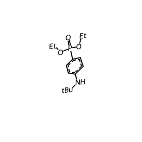 CCOP(=O)(OCC)c1ccc(NC(C)(C)C)cc1